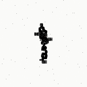 C[C@@H](O)c1ccc(Cn2ccc([C@@H]3O[C@@H]4C[C@H]5[C@@H]6CCC7=CC(=O)C=C[C@]7(C)[C@H]6[C@@H](O)C[C@]5(C)[C@]4(C(=O)CO)O3)c2)cc1